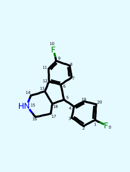 Fc1ccc(C2c3ccc(F)cc3C3CNCCC32)cc1